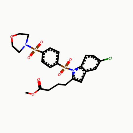 COC(=O)CCCc1cc2cc(Cl)ccc2n1S(=O)(=O)c1ccc(S(=O)(=O)N2CCOCC2)cc1